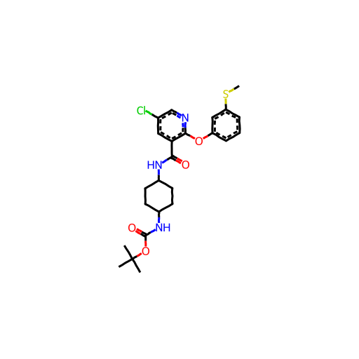 CSc1cccc(Oc2ncc(Cl)cc2C(=O)NC2CCC(NC(=O)OC(C)(C)C)CC2)c1